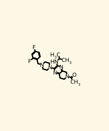 CC(=O)N1CCc2nc(N3CCN(Cc4ccc(F)cc4F)CC3)c(NC(C)C)nc2C1